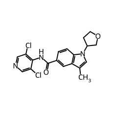 Cc1cn(C2CCOC2)c2ccc(C(=O)Nc3c(Cl)cncc3Cl)cc12